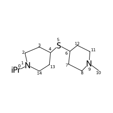 CC(C)N1CCC(SC2CCN(C)CC2)CC1